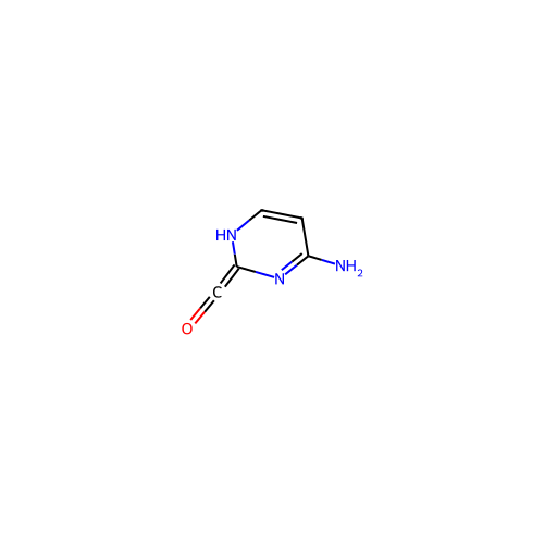 NC1=NC(=C=O)NC=C1